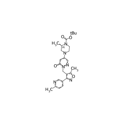 Cc1ccc(-c2noc(C)c2Cn2ncc(N3CCN(C(=O)OC(C)(C)C)[C@H](C)C3)cc2=O)cn1